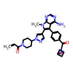 C=CC(=O)N1CCC(n2cc(-c3c(-c4ccc(C(=O)N5CC6CC5C6)cc4)c4c(N)ncnc4n3C)cn2)CC1